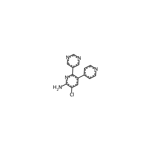 Nc1nc(-c2cncnc2)c(-c2ccncc2)cc1Cl